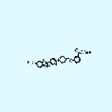 COC(=O)c1cccc(OCC2CCN(c3ccc(-c4nc5cc(C(F)(F)F)ccc5[nH]4)cn3)CC2)c1